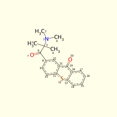 CN(C)C(C)(C)C(=O)c1ccc2sc3ccccc3c(=O)c2c1